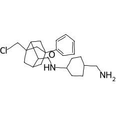 NCC1CCC(NC(=O)C2C3CC4(c5ccccc5)CC2C(CCl)(C3)C4)CC1